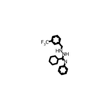 FC(F)(F)c1cccc(CNN/C(=N/c2ccccc2)C2CCCCC2)c1